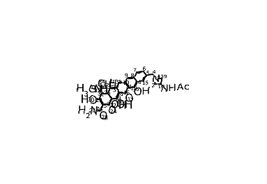 CC(=O)NC1CN(Cc2ccc3cc4c(c(O)c3c2)C(=O)C2=C(O)[C@]3(O)C(=O)C(C(N)=O)=C(O)[C@@H](N(C)C)[C@@H]3C[C@@H]2C4)C1